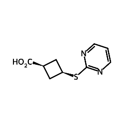 O=C(O)[C@H]1C[C@@H](Sc2ncccn2)C1